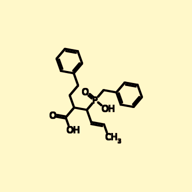 CC=CC(C(CCc1ccccc1)C(=O)O)P(=O)(O)Cc1ccccc1